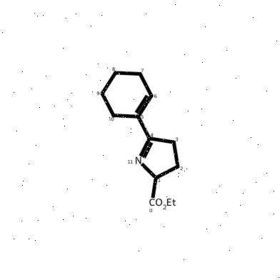 CCOC(=O)C1CCC(C2=CCCCC2)=N1